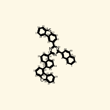 c1ccc2cc(-c3nc(-c4ccc5sc6ccccc6c5c4)nc(-c4cccc5c(-c6cccc7oc8ccccc8c67)cccc45)n3)ccc2c1